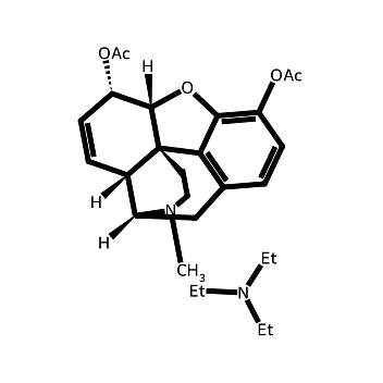 CC(=O)Oc1ccc2c3c1O[C@H]1[C@@H](OC(C)=O)C=C[C@H]4[C@@H](C2)N(C)CC[C@@]341.CCN(CC)CC